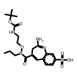 CCCN(OCCNC(=O)OC(C)(C)C)C(=O)C1=Cc2ccc(S(=O)(=O)O)cc2N=C(N)C1